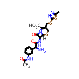 Cc1nnc(SCC2=C(C(=O)O)N3C(=O)C(NC(=O)C(N)c4cccc(NC(=O)C(F)(F)F)c4)[C@@H]3SC2)s1